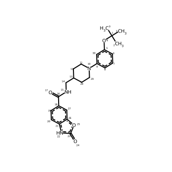 CC(C)(C)Oc1cccc(N2CCC(CNC(=O)c3ccc4[nH]c(=O)oc4c3)CC2)c1